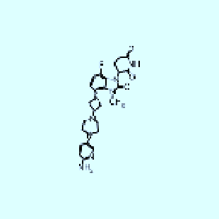 Cn1c(=O)n(C2CCC(=O)NC2=O)c2c(F)ccc(N3CC(N4CCN(c5ccc(N)nc5)CC4)C3)c21